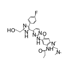 CCC(=O)Nc1cc(Nc2nccc(-c3[nH]c(CCO)nc3-c3ccc(F)cc3)n2)c(OC)cc1N(C)CCN(C)C